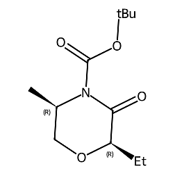 CC[C@H]1OC[C@@H](C)N(C(=O)OC(C)(C)C)C1=O